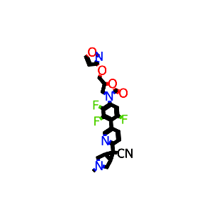 CN1CC2C(C1)C2(C#N)c1ccc(-c2c(F)cc(N3CC(COc4ccon4)OC3=O)c(F)c2F)cn1